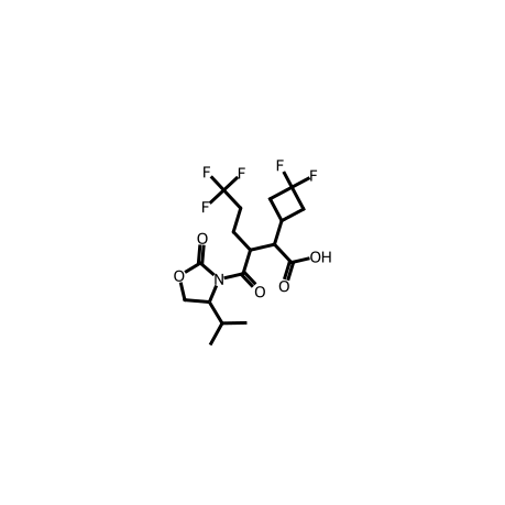 CC(C)C1COC(=O)N1C(=O)C(CCC(F)(F)F)C(C(=O)O)C1CC(F)(F)C1